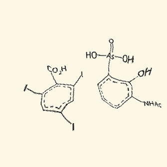 CC(=O)Nc1cccc([As](=O)(O)O)c1O.O=C(O)c1c(I)cc(I)cc1I